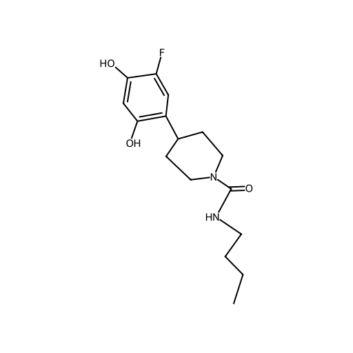 CCCCNC(=O)N1CCC(c2cc(F)c(O)cc2O)CC1